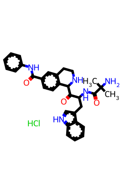 CC(C)(N)C(=O)NC(Cc1c[nH]c2ccccc12)C(=O)C1NCCc2cc(C(=O)Nc3ccccc3)ccc21.Cl